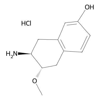 CO[C@H]1Cc2ccc(O)cc2C[C@@H]1N.Cl